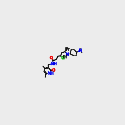 CCN(C(CC(Cl)CCC(=O)NCc1c(C)cc(C)[nH]c1=O)C(C)C)[C@H]1CC[C@H](N(C)C)CC1